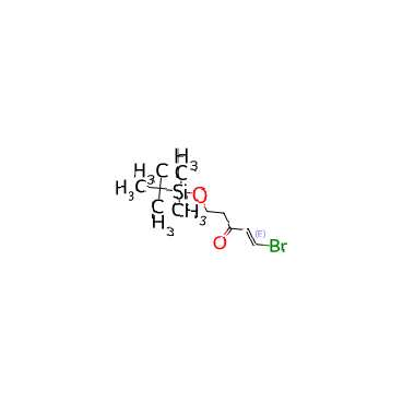 CC(C)(C)[Si](C)(C)OCCC(=O)/C=C/Br